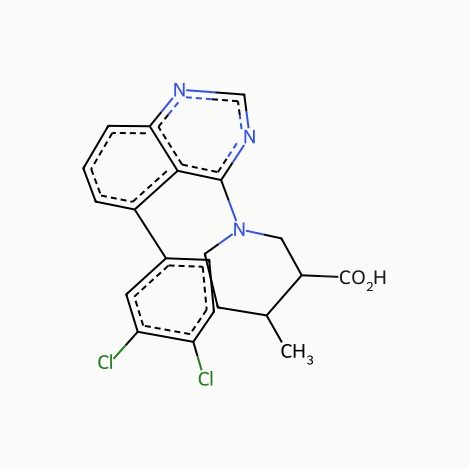 CC1CCN(c2ncnc3cccc(-c4ccc(Cl)c(Cl)c4)c23)CC1C(=O)O